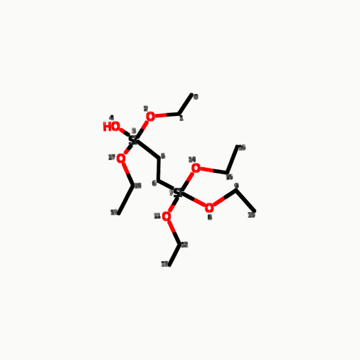 CCO[Si](O)(CC[Si](OCC)(OCC)OCC)OCC